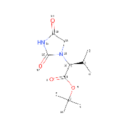 CC(C)[C@@H](C(=O)OC(C)(C)C)N1CC(=O)NC1=O